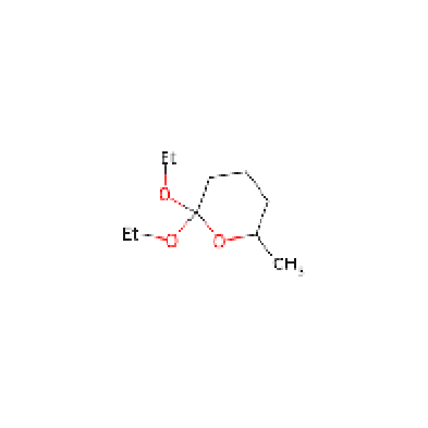 CCOC1(OCC)CCCC(C)O1